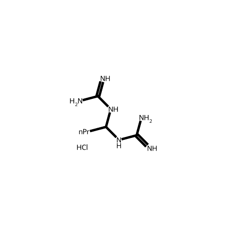 CCCC(NC(=N)N)NC(=N)N.Cl